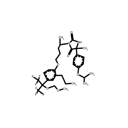 CCCc1cc(C(OCOC)(C(F)(F)F)C(F)(F)F)ccc1OCCCC(C)N1C(=O)NC(C)(c2ccc(OC(C)C)cc2)C1=O